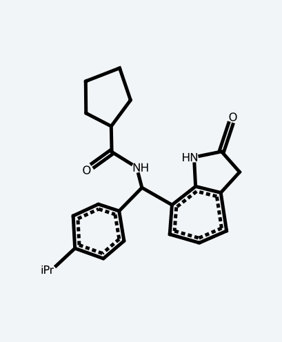 CC(C)c1ccc(C(NC(=O)C2CCCC2)c2cccc3c2NC(=O)C3)cc1